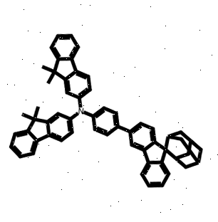 CC1(C)c2ccccc2-c2ccc(N(c3ccc(-c4ccc5c(c4)-c4ccccc4C54C5CC6CC(C5)CC4C6)cc3)c3ccc4c(c3)C(C)(C)c3ccccc3-4)cc21